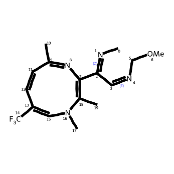 C/N=C(\C=N/COC)c1nc(C)ccc(C(F)(F)F)cn(C)c1C